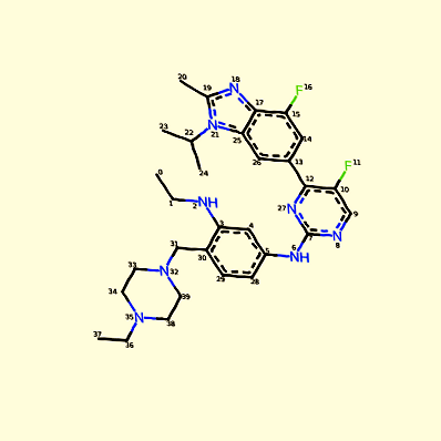 CCNc1cc(Nc2ncc(F)c(-c3cc(F)c4nc(C)n(C(C)C)c4c3)n2)ccc1CN1CCN(CC)CC1